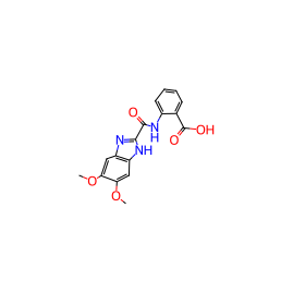 COc1cc2nc(C(=O)Nc3ccccc3C(=O)O)[nH]c2cc1OC